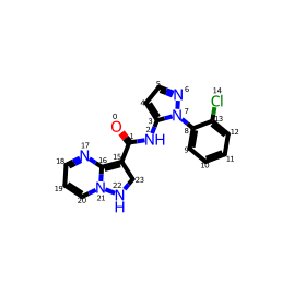 O=C(Nc1ccnn1-c1ccccc1Cl)C1=C2N=CC=CN2NC1